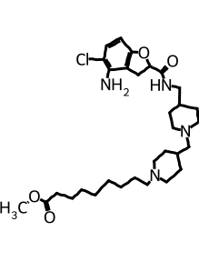 COC(=O)CCCCCCCCN1CCC(CN2CCC(CNC(=O)C3Cc4c(ccc(Cl)c4N)O3)CC2)CC1